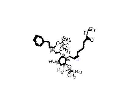 CC(C)OC(=O)CCC/C=C\C[C@@H]1[C@@H](CC[C@H](CCc2ccccc2)O[Si](C)(C)C(C)(C)C)[C@H](O)C[C@@H]1O[Si](C)(C)C(C)(C)C